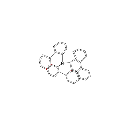 c1ccc(-c2ccccc2N(c2ccccc2-c2ccccc2)c2cc3ccccc3c3ccccc23)cc1